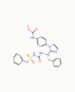 COC(=O)Nc1ccc(-n2ccnc2[C@H](Cc2ccccc2)NC(=O)NS(=O)(=O)Cc2ccccc2)cc1